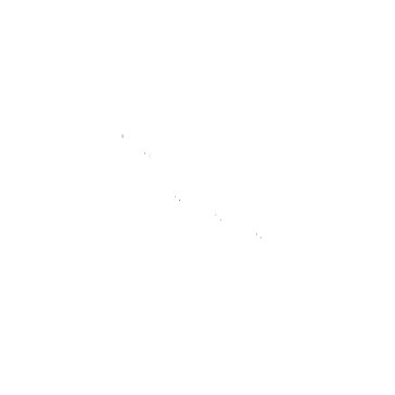 [CH2]CCN1CCN(c2cccc([N+](=O)[O-])n2)CC1